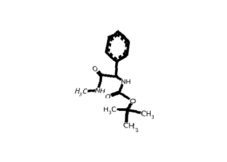 CNC(=O)C(NC(=O)OC(C)(C)C)c1ccccc1